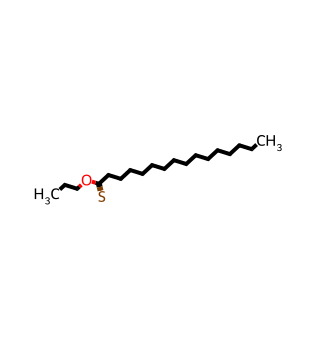 CCCCCCCCCCCCCCCC(=S)OCCC